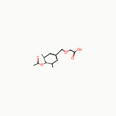 CC(=O)OC1C(C)CC(COCC(=O)O)CC1C